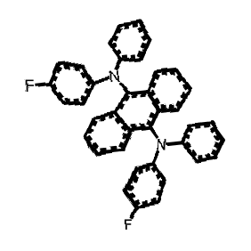 Fc1ccc(N(c2ccccc2)c2c3ccccc3c(N(c3ccccc3)c3ccc(F)cc3)c3ccccc23)cc1